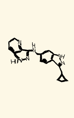 c1cnc2c(Nc3ccc4c(C5CC5)n[nH]c4c3)n[nH]c2c1